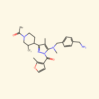 Cc1occc1C(=O)n1nc(C2CCN(C(=O)C(C)(C)C)CC2C(F)(F)F)c(C)c1N(C)Cc1ccc(CN)cc1